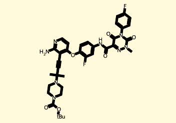 Cn1nc(C(=O)Nc2ccc(Oc3ccnc(N)c3C#CC(C)(C)N3CCN(C(=O)OC(C)(C)C)CC3)c(F)c2)c(=O)n(-c2ccc(F)cc2)c1=O